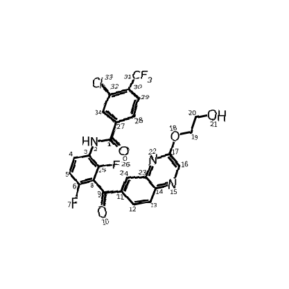 O=C(Nc1ccc(F)c(C(=O)c2ccc3ncc(OCCO)nc3c2)c1F)c1ccc(C(F)(F)F)c(Cl)c1